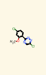 COc1cc(Cl)ccc1-c1ncc(Cl)nn1